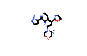 C[C@@H]1COCCN1c1cc(-c2ncco2)c2ccnc(-c3ccn[nH]3)c2n1